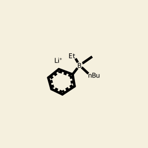 CCCC[B-](C)(CC)c1ccccc1.[Li+]